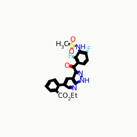 CCOC(=O)c1ccccc1-c1cnc2[nH]nc(C(=O)c3ccc(F)c(NS(C)(=O)=O)c3F)c2c1